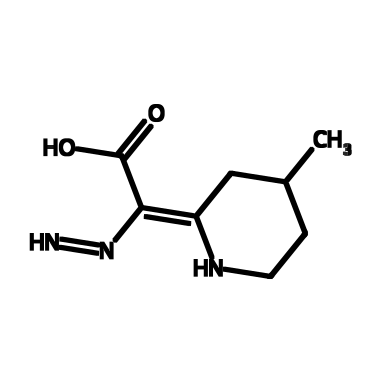 CC1CCN/C(=C(\N=N)C(=O)O)C1